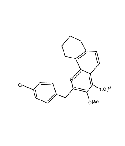 COc1c(Cc2ccc(Cl)cc2)nc2c3c(ccc2c1C(=O)O)CCCC3